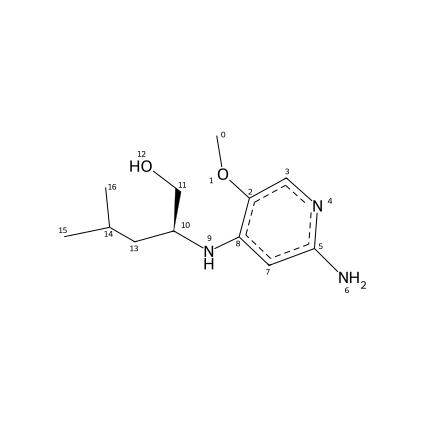 COc1cnc(N)cc1N[C@H](CO)CC(C)C